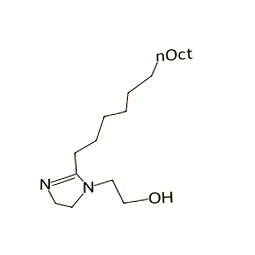 CCCCCCCCCCCCCCC1=NCCN1CCO